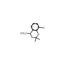 CCOC(=O)C1OC(C)(C)Oc2c(Cl)cccc21